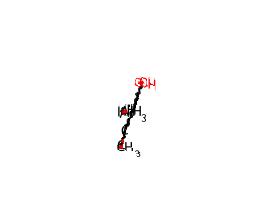 CCCCCCCCCCCCCCCCCCCCCC(=O)O.[AlH3].[KH]